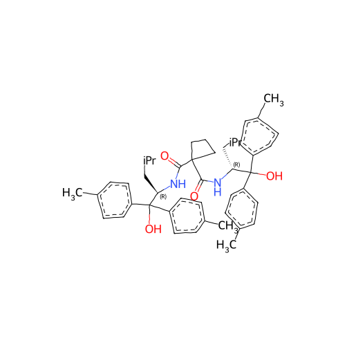 Cc1ccc(C(O)(c2ccc(C)cc2)[C@@H](CC(C)C)NC(=O)C2(C(=O)N[C@H](CC(C)C)C(O)(c3ccc(C)cc3)c3ccc(C)cc3)CCC2)cc1